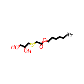 CC(C)CCCCCOC(=O)CSCC(O)CO